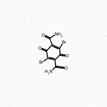 NC(=O)C1=C(Br)C(=O)C(C(N)=O)=C(Br)C1=O